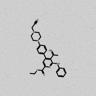 CCOC(=O)c1cc(-c2ccc(N3CCN(CC#N)CC3)cc2)c(C(C)=N)c(Nc2ccccc2)n1